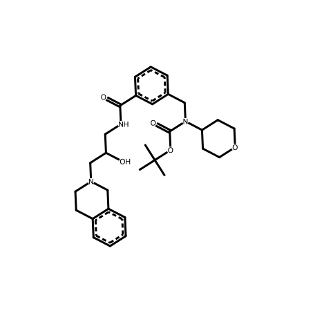 CC(C)(C)OC(=O)N(Cc1cccc(C(=O)NCC(O)CN2CCc3ccccc3C2)c1)C1CCOCC1